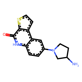 NC1CCN(c2ccc3[nH]c(=O)c4sccc4c3c2)C1